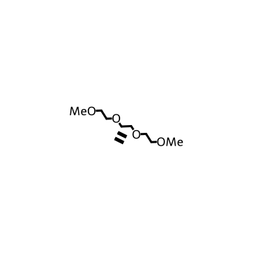 C=C.C=C.COCCOCCOCCOC